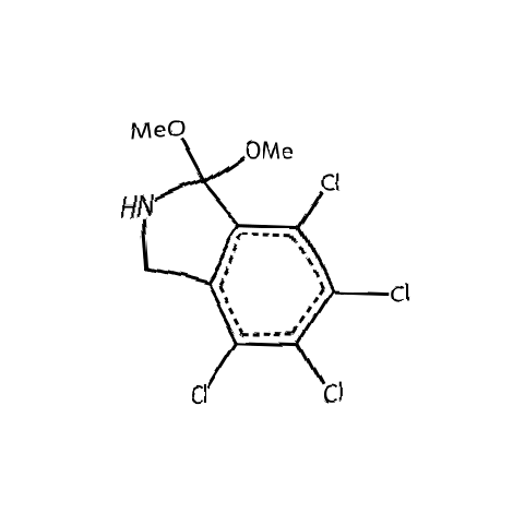 COC1(OC)NCc2c(Cl)c(Cl)c(Cl)c(Cl)c21